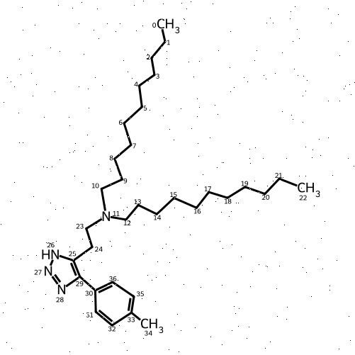 CCCCCCCCCCCN(CCCCCCCCCCC)CCc1[nH]nnc1-c1ccc(C)cc1